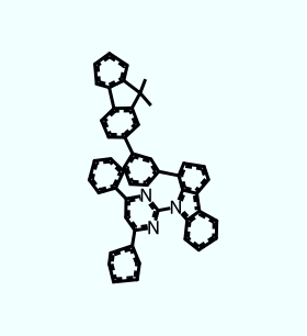 CC1(C)c2ccccc2-c2ccc(-c3cccc(-c4cccc5c6ccccc6n(-c6nc(-c7ccccc7)cc(-c7ccccc7)n6)c45)c3)cc21